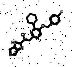 [O-][S+](Cc1ncc(OCc2ccc(F)cc2)c(N2CCCCC2)n1)c1nc2cscc2[nH]1